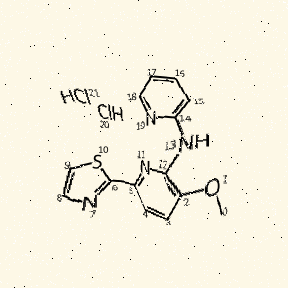 COc1ccc(-c2nccs2)nc1Nc1ccccn1.Cl.Cl